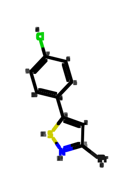 CC(C)c1cc(-c2ccc(Cl)cc2)sn1